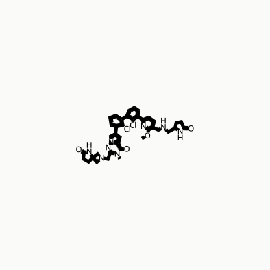 COc1nc(-c2cccc(-c3cccc(-c4cc5c(=O)n(C)c(CN6CC7(CCC(=O)N7)C6)nn5c4)c3Cl)c2Cl)ccc1CNCC1CCC(=O)N1